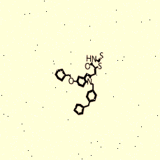 O=C1NC(=S)SC1=Cc1cc2cc(OCc3ccccc3)ccc2n1Cc1ccc(Cc2ccccc2)cc1